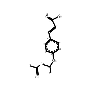 CC(=O)OC(C)Oc1ccc(/C=C/C(=O)O)cc1